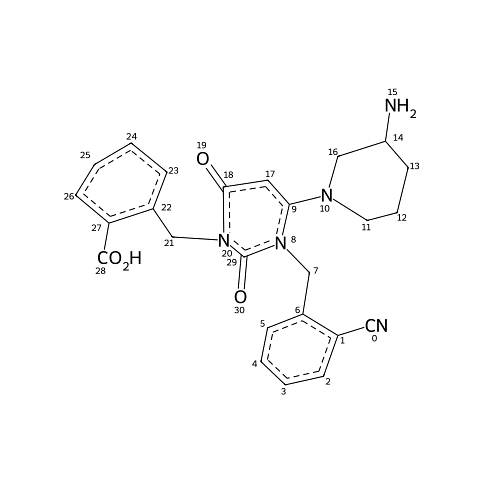 N#Cc1ccccc1Cn1c(N2CCCC(N)C2)cc(=O)n(Cc2ccccc2C(=O)O)c1=O